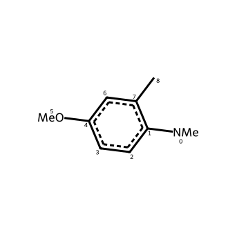 CNc1ccc(OC)cc1C